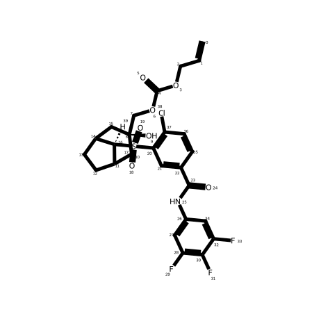 C=CCOC(=O)OC[C@]1(O)CC2CCC(C1)[C@H]2S(=O)(=O)c1cc(C(=O)Nc2cc(F)c(F)c(F)c2)ccc1Cl